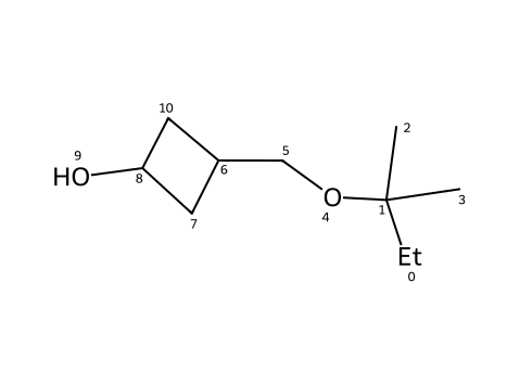 CCC(C)(C)OCC1CC(O)C1